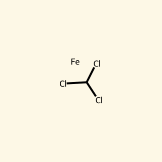 ClC(Cl)Cl.[Fe]